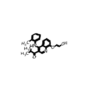 Cc1ccccc1Nc1c(C(=O)C(C)C)cnc2c(OCCO)cccc12